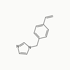 C=Cc1ccc(Cn2ccnc2)cc1